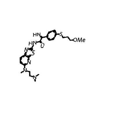 COCCCSc1ccc(C(=N)C(=O)Nc2nc3ccc(N(C)CCN(C)C)nc3s2)cc1